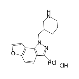 Cl.Cl.Ic1nn(CC2CCCNC2)c2c1ccc1occc12